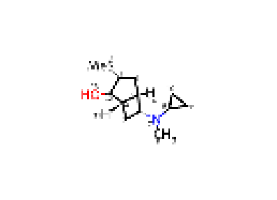 CS[C@@H]1C[C@H]2[C@H](C[C@H]2N(C)C2CC2)[C@H]1O